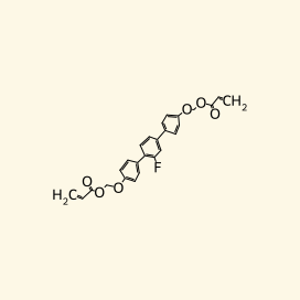 C=CC(=O)OCOc1ccc(-c2ccc(-c3ccc(OCOC(=O)C=C)cc3)c(F)c2)cc1